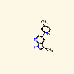 Cc1ccnc(-c2cnc3[nH]cc(C)c3c2)c1